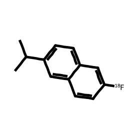 CC(C)c1ccc2cc([18F])ccc2c1